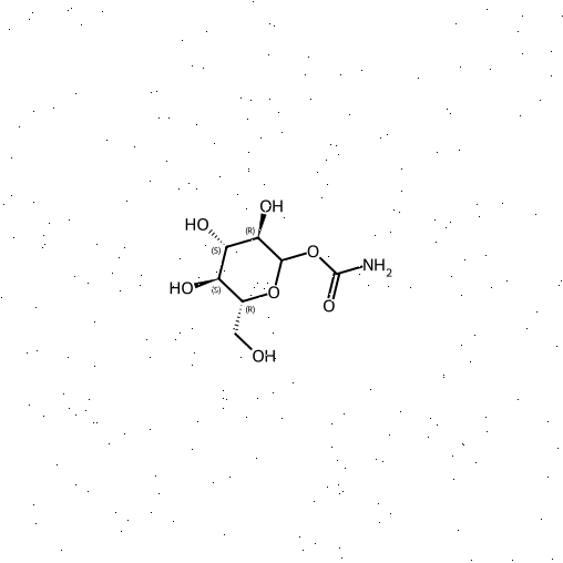 NC(=O)OC1O[C@H](CO)[C@@H](O)[C@H](O)[C@H]1O